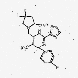 C[C@@]1(c2ccc(F)cc2)N=C(c2nccs2)NC(CN2CC(F)(F)C[C@H]2C(=O)O)=C1C(=O)O